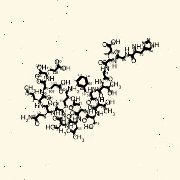 CSCC[C@H](NC(=O)[C@H](CCC(N)=O)NC(=O)[C@H](CCCCN)NC(=O)[C@H](CO)NC(=O)[C@H](CC(C)C)NC(=O)[C@H](CC(=O)O)NC(=O)[C@H](CO)NC(=O)[C@@H](NC(=O)[C@H](Cc1ccccc1)NC(=O)[C@@H](NC(=O)CNC(=O)[C@H](CCC(=O)O)NC(=O)CNC(=O)[C@@H](N)Cc1c[nH]cn1)[C@@H](C)O)[C@@H](C)O)C(=O)N[C@@H](CCC(=O)O)C(=O)N[C@@H](CCC(=O)O)C(=O)O